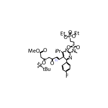 CCOP(=O)(CCS(=O)(=O)N(C)c1nc(-c2ccc(F)cc2)c(/C=C/C(=O)C[C@H](CC(=O)OC)O[Si](C)(C)C(C)(C)C)c(C(C)C)n1)OCC